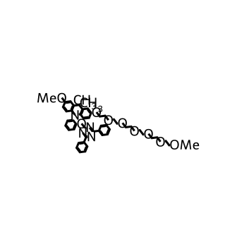 COCCOCCOCCOCCOCCOCCOc1ccc2c(c1)C(C)(C)c1cc(OC)ccc1N2c1ccccc1Oc1nc(-c2ccccc2)nc(-c2ccccc2)n1